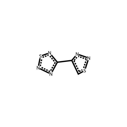 c1snnc1-c1nnsn1